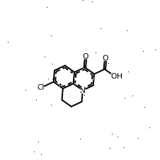 O=C(O)c1cn2c3c(c(Cl)ccc3c1=O)CCC2